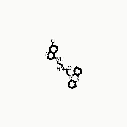 O=C(CN1c2ccccc2Sc2ccccc21)NCCNc1ccnc2cc(Cl)ccc12